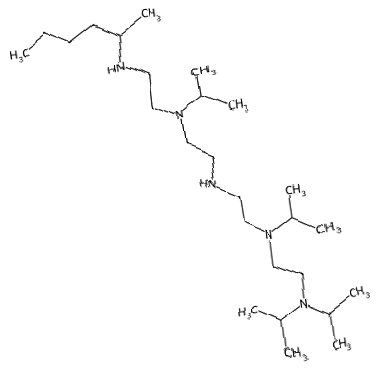 CCCCC(C)NCCN(CCNCCN(CCN(C(C)C)C(C)C)C(C)C)C(C)C